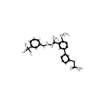 COc1ccc(-c2cccc(CC(=O)O)c2)cc1C(C)=NOCc1cccc(C(F)(F)F)c1